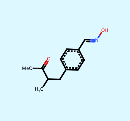 COC(=O)C(C)Cc1ccc(/C=N/O)cc1